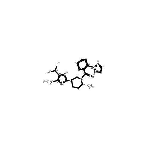 CCOC(=O)c1nc([C@@H]2CC[C@@H](C)N(C(=O)c3ccccc3-n3nccn3)C2)oc1C(F)F